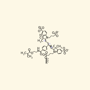 C=C(C)C(=O)OCCNC(=O)c1ccc(C(=C\C=C2/N(CCCS(=O)(=O)[O-])c3ccc(S(=O)(=O)[O-])cc3C2(C)C)/C=C/C2=[N+](CCCS(=O)(=O)[O-])c3ccc(S(=O)(=O)[O-])cc3C2(C)C)cc1.[K+].[K+].[K+]